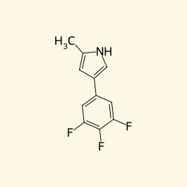 Cc1cc(-c2cc(F)c(F)c(F)c2)c[nH]1